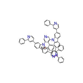 N#Cc1ccccc1-c1c(-n2c3cc(-c4ccnc(-c5ccccc5)c4)ccc3c3ccc(-c4ccnc(-c5ccccc5)c4)cc32)cncc1-n1c2cc(-c3ccnc(-c4ccccc4)c3)ccc2c2ccc(-c3ccnc(-c4ccccc4)c3)cc21